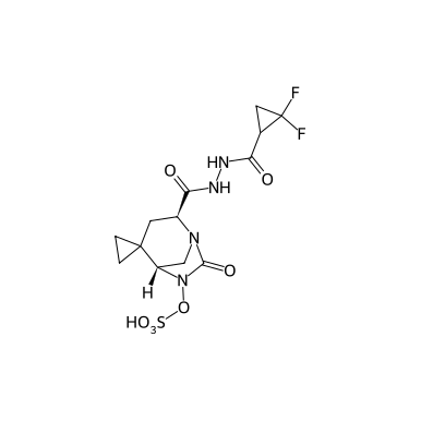 O=C(NNC(=O)[C@@H]1CC2(CC2)[C@@H]2CN1C(=O)N2OS(=O)(=O)O)C1CC1(F)F